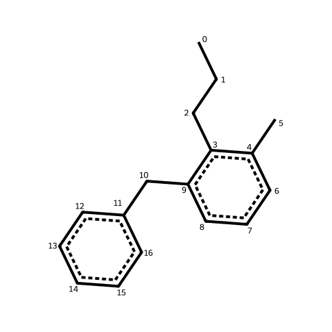 CCCc1c(C)cccc1Cc1ccccc1